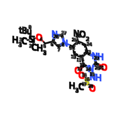 CC(C)(C)[Si](C)(C)OCc1cn(-c2cc3c(=O)n(NS(C)(=O)=O)c(=O)[nH]c3cc2[N+](=O)[O-])cn1